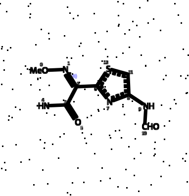 CO/N=C(\C([NH])=O)c1nc(NC=O)cs1